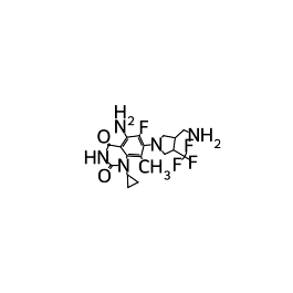 Cc1c(N2CC(CN)C(C(F)(F)F)C2)c(F)c(N)c2c(=O)[nH]c(=O)n(C3CC3)c12